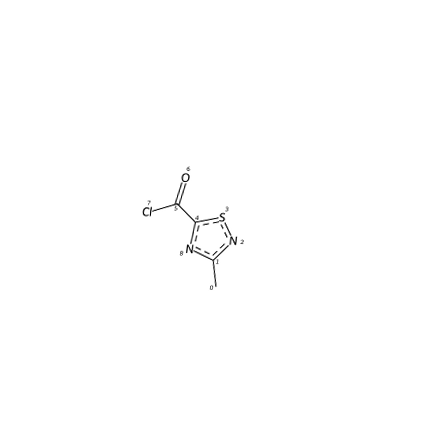 Cc1nsc(C(=O)Cl)n1